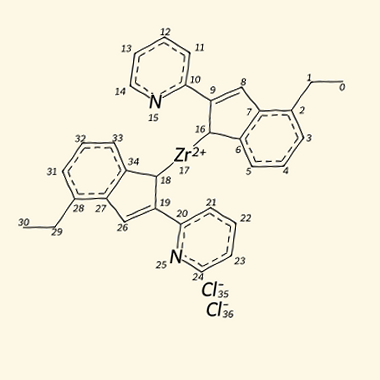 CCc1cccc2c1C=C(c1ccccn1)[CH]2[Zr+2][CH]1C(c2ccccn2)=Cc2c(CC)cccc21.[Cl-].[Cl-]